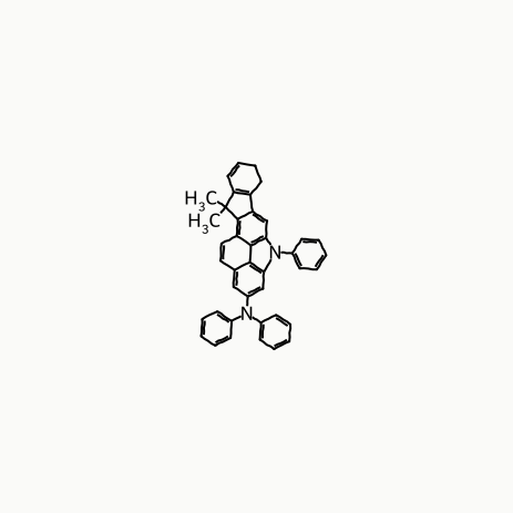 CC1(C)C2=C(CCC=C2)c2cc3c4c(ccc5cc(N(c6ccccc6)c6ccccc6)cc(c54)n3-c3ccccc3)c21